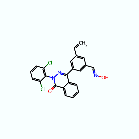 C=Cc1cc(C=NO)cc(-c2nn(-c3c(Cl)cccc3Cl)c(=O)c3ccccc23)c1